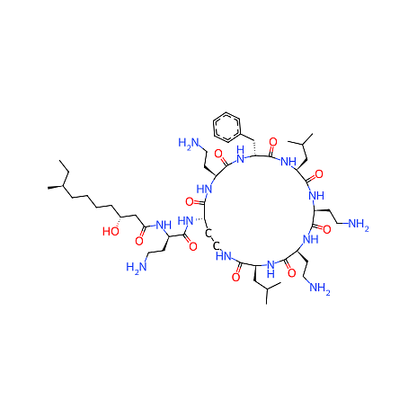 CC[C@H](C)CCCC[C@@H](O)CC(=O)N[C@H](CCN)C(=O)N[C@H]1CCNC(=O)[C@H](CC(C)C)NC(=O)[C@H](CCN)NC(=O)[C@H](CCN)NC(=O)[C@H](CC(C)C)NC(=O)[C@@H](Cc2ccccc2)NC(=O)[C@H](CCN)NC1=O